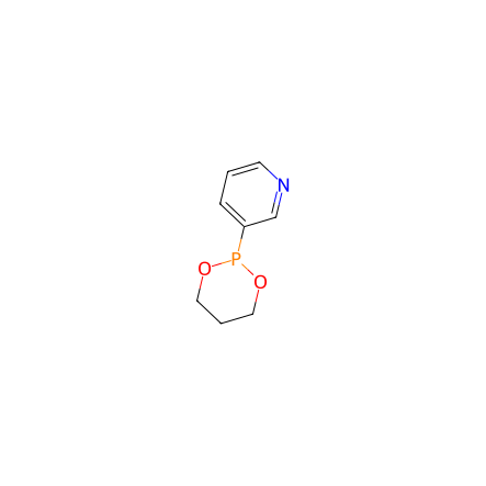 c1cncc(P2OCCCO2)c1